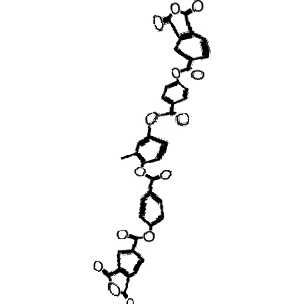 Cc1cc(OC(=O)c2ccc(OC(=O)c3ccc4c(c3)C(=O)OC4=O)cc2)ccc1OC(=O)c1ccc(OC(=O)c2ccc3c(c2)C(=O)OC3=O)cc1